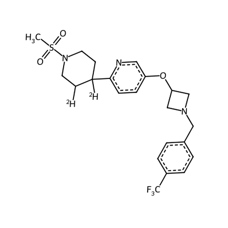 [2H]C1CN(S(C)(=O)=O)CCC1([2H])c1ccc(OC2CN(Cc3ccc(C(F)(F)F)cc3)C2)cn1